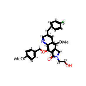 COc1ccc(COc2c3c(c(OC)c4cc(Cc5ccc(F)cc5)cnc24)CN(CCO)C3=O)cc1